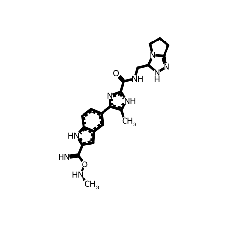 CNOC(=N)c1cc2cc(-c3nc(C(=O)NCC4NN=C5CCCN54)[nH]c3C)ccc2[nH]1